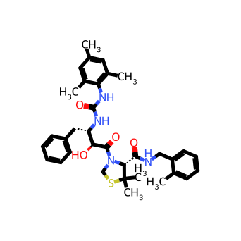 Cc1cc(C)c(NC(=O)N[C@@H](Cc2ccccc2)[C@H](O)C(=O)N2CSC(C)(C)[C@H]2C(=O)NCc2ccccc2C)c(C)c1